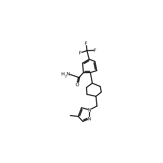 Cc1cnn(CC2CCC(c3ccc(C(F)(F)F)cc3C(N)=O)CC2)c1